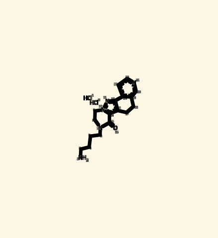 Cl.Cl.NCCCCN1CCn2nc3c(c2C1=O)CCc1cnccc1-3